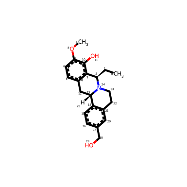 CC[C@@H]1c2c(ccc(OC)c2O)C[C@H]2c3ccc(CO)cc3CCN12